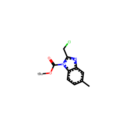 Cc1ccc2c(c1)nc(CCl)n2C(=O)OC(C)(C)C